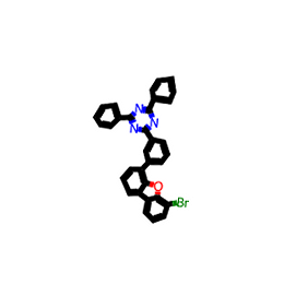 Brc1cccc2c1oc1c(-c3cccc(-c4nc(-c5ccccc5)nc(-c5ccccc5)n4)c3)cccc12